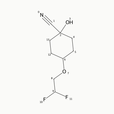 N#CC1(O)CCC(OCC(F)F)CC1